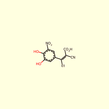 CCC(=C(C#N)C(=O)O)c1cc(O)c(O)c([N+](=O)[O-])c1